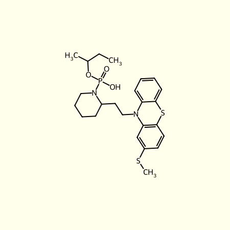 CCC(C)OP(=O)(O)N1CCCCC1CCN1c2ccccc2Sc2ccc(SC)cc21